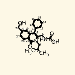 CC(C)Cn1c(CNC(=O)O)c(-c2ccccc2)c2cc(CO)ccc2c1=O